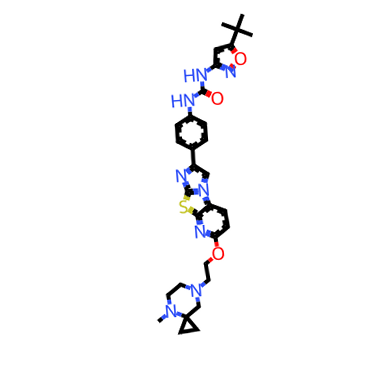 CN1CCN(CCOc2ccc3c(n2)sc2nc(-c4ccc(NC(=O)Nc5cc(C(C)(C)C)on5)cc4)cn23)CC12CC2